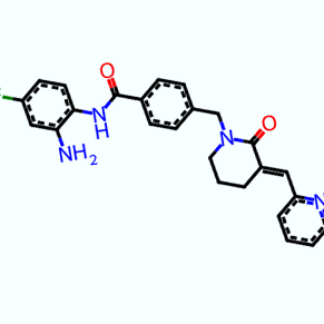 Nc1cc(F)ccc1NC(=O)c1ccc(CN2CCCC(=Cc3ccccn3)C2=O)cc1